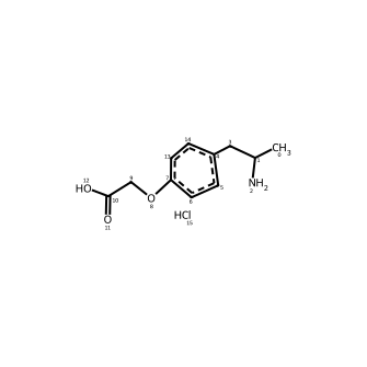 CC(N)Cc1ccc(OCC(=O)O)cc1.Cl